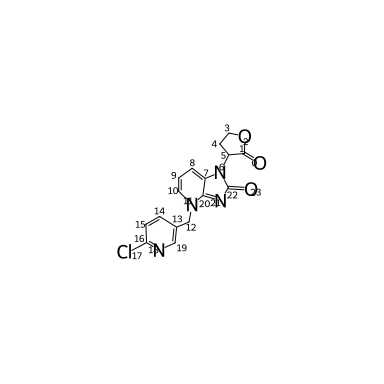 O=C1OCCC1n1c2cccn(Cc3ccc(Cl)nc3)c-2nc1=O